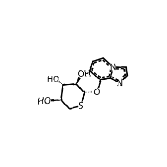 O[C@@H]1[C@@H](O)[C@H](Oc2cccn3ccnc23)SC[C@H]1O